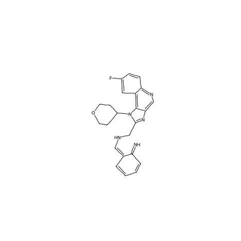 N=C1C=CC=C/C1=C/NCc1nc2cnc3ccc(F)cc3c2n1C1CCOCC1